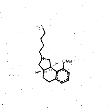 COc1cccc2c1[C@@H]1CN(CCCCN)C[C@@H]1CC2